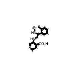 CCNC(CNc1cnccc1C(=O)O)c1ccccc1C